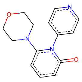 O=c1cccc(N2CCOCC2)n1-c1ccncc1